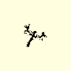 C#CC#CC(C#C)(COC(=O)C(=C)C)COC(=O)C(=C)C